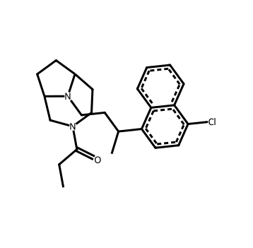 CCC(=O)N1CCC2CCC(C1)N2CCC(C)c1ccc(Cl)c2ccccc12